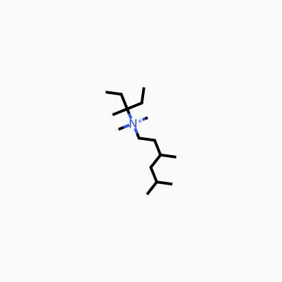 CCC(C)(CC)[N+](C)(C)CCC(C)CC(C)C